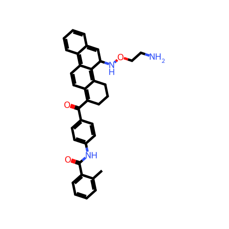 Cc1ccccc1C(=O)Nc1ccc(C(=O)C2=c3ccc4c(c3CCC2)C(NOCCN)C=c2ccccc2=4)cc1